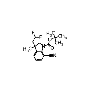 CC(C)(C)OC(=O)N1CC(C)(CC(F)F)c2cccc(C#N)c21